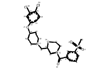 CS(=O)(=O)c1cccc(C(=O)N2CCOC(CN3CCC(Oc4ccc(Cl)c(Cl)c4)CC3)C2)c1